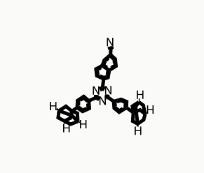 N#Cc1ccc2cc(-c3nc(-c4ccc(C56C[C@H]7C[C@H](C5)C[C@@H](C6)C7)cc4)nc(-c4ccc(C56C[C@H]7C[C@H](C5)C[C@@H](C6)C7)cc4)n3)ccc2c1